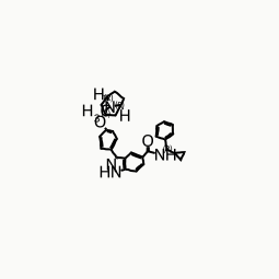 CN1[C@@H]2CC[C@H]1C[C@H](Oc1ccc(-c3n[nH]c4ccc(C(=O)N[C@@H](c5ccccc5)C5CC5)cc34)cc1)C2